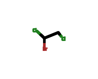 ClCC(Cl)Br